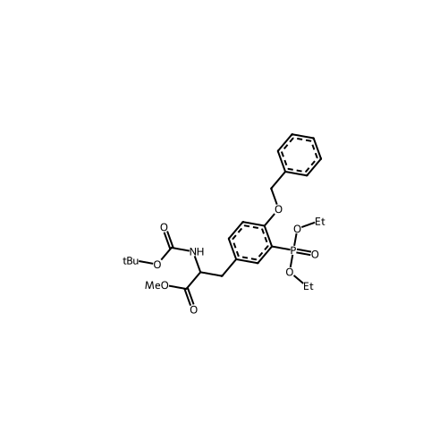 CCOP(=O)(OCC)c1cc(CC(NC(=O)OC(C)(C)C)C(=O)OC)ccc1OCc1ccccc1